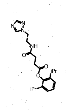 CC(C)c1cccc(C(C)C)c1OC(=O)CCC(=O)NCCn1cncn1